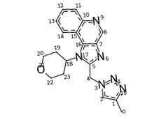 Cc1cn(Cc2nc3cnc4ccccc4c3n2C2CCOCC2)nn1